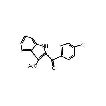 CC(=O)Oc1c(C(=O)c2ccc(Cl)cc2)[nH]c2ccccc12